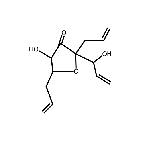 C=CCC1OC(CC=C)(C(O)C=C)C(=O)C1O